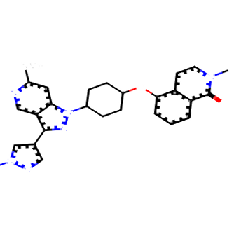 CNc1cc2c(cn1)c(-c1cnn(C)c1)nn2C1CCC(Oc2cccc3c(=O)n(C)ccc23)CC1